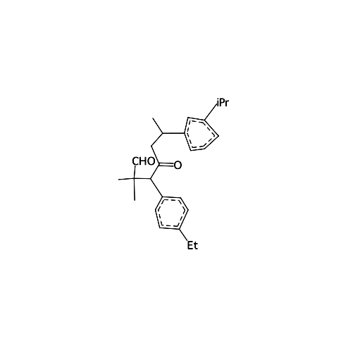 CCc1ccc(C(C(=O)CC(C)c2cccc(C(C)C)c2)C(C)(C)C=O)cc1